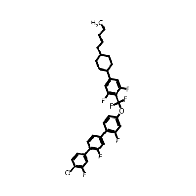 CCCCCC1CCC(c2cc(F)c(C(F)(F)Oc3ccc(-c4ccc(-c5ccc(Cl)c(F)c5)c(F)c4)c(F)c3)c(F)c2)CC1